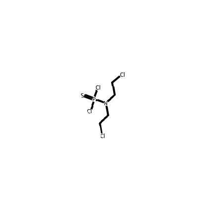 S=P(Cl)(Cl)N(CCCl)CCCl